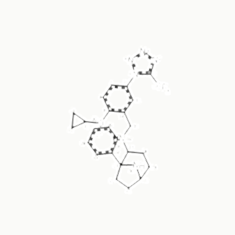 FC(F)(F)c1nnnn1-c1ccc(OC2CC2)c(CNC2CCC3CCC2(c2ccccc2)N3)c1